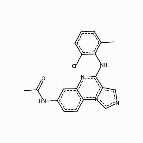 CC(=O)Nc1ccc2c(c1)nc(Nc1c(C)cccc1Cl)c1cncn12